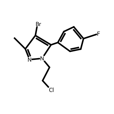 Cc1nn(CCCl)c(-c2ccc(F)cc2)c1Br